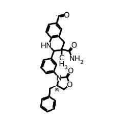 CC1(C(N)=O)Cc2cc([C]=O)ccc2NC1c1cccc(N2C(=O)OC[C@H]2Cc2ccccc2)c1